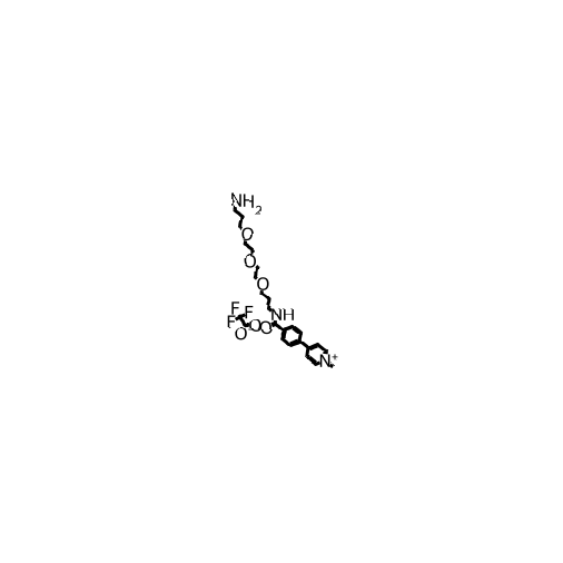 C[n+]1ccc(-c2ccc(C(=O)NCCCOCCOCCOCCCN)cc2)cc1.O=C([O-])C(F)(F)F